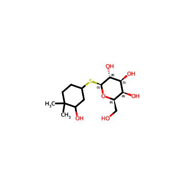 CC1(C)CCC(S[C@@H]2O[C@H](CO)[C@H](O)[C@H](O)[C@H]2O)CC1O